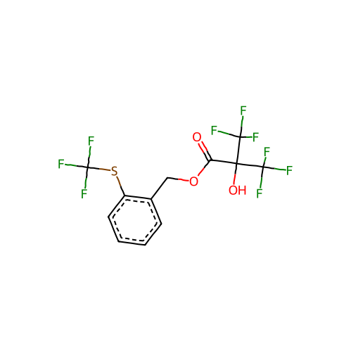 O=C(OCc1ccccc1SC(F)(F)F)C(O)(C(F)(F)F)C(F)(F)F